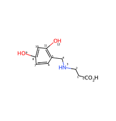 O=C(O)CCNCc1ccc(O)cc1O